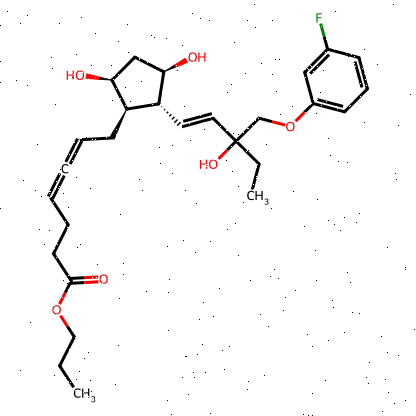 CCCOC(=O)CCC=C=CC[C@@H]1[C@@H](C=CC(O)(CC)COc2cccc(F)c2)[C@H](O)C[C@@H]1O